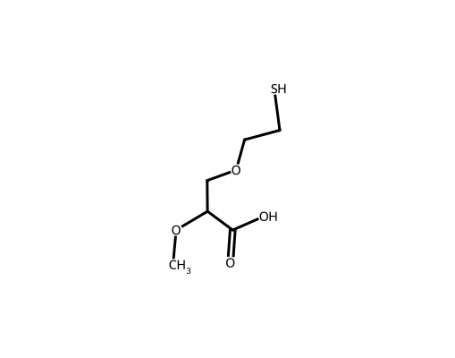 COC(COCCS)C(=O)O